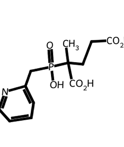 CC(CCC(=O)O)(C(=O)O)P(=O)(O)Cc1ccccn1